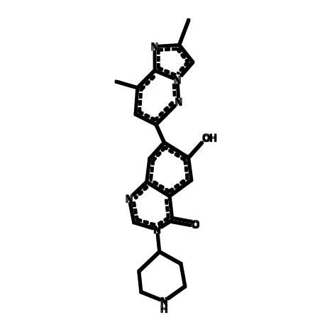 Cc1cn2nc(-c3cc4ncn(C5CCNCC5)c(=O)c4cc3O)cc(C)c2n1